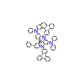 c1ccc(-c2ccc3c(c2)B2c4ccc(N(c5ccccc5)c5ccccc5)cc4N(c4ccc5c6ccccc6c6ccccc6c5c4)c4cc(N(c5ccccc5)c5ccccc5)cc(c42)N3c2ccc3c4ccccc4c4ccccc4c3c2)cc1